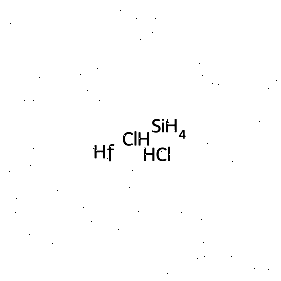 Cl.Cl.[Hf].[SiH4]